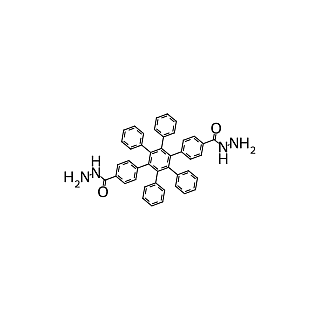 NNC(=O)c1ccc(-c2c(-c3ccccc3)c(-c3ccccc3)c(-c3ccc(C(=O)NN)cc3)c(-c3ccccc3)c2-c2ccccc2)cc1